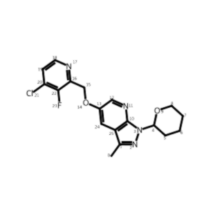 Cc1nn(C2CCCCO2)c2ncc(OCc3nccc(Cl)c3F)cc12